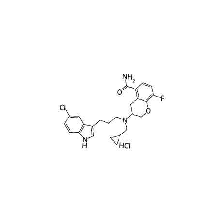 Cl.NC(=O)c1ccc(F)c2c1CC(N(CCCc1c[nH]c3ccc(Cl)cc13)CC1CC1)CO2